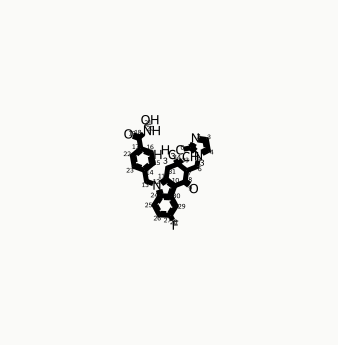 Cc1nccn1CC1C(=O)c2c(n(Cc3ccc(C(=O)NO)cc3)c3ccc(F)cc23)CC1(C)C